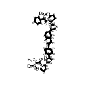 CCN(CC)C(C(=O)N1CCC[C@H]1c1ncc(-c2ccc3oc(-c4ccc(-c5cnc([C@@H]6CCCN6C(=O)[C@@H](C)N(CC)CC)[nH]5)cc4)cc3c2)[nH]1)c1ccccc1